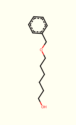 OCC[CH]CCCOCc1ccccc1